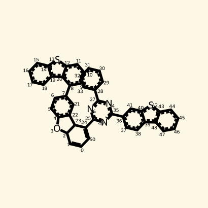 C1=CC2Oc3ccc(-c4cccc5sc6ccccc6c45)cc3C2C(c2nc(-c3ccccc3)nc(-c3ccc4c(c3)sc3ccccc34)n2)=C1